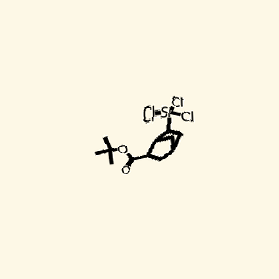 CC(C)(C)OC(=O)C1CC2CC1C([Si](Cl)(Cl)Cl)C2